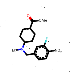 CCN(Cc1ccc([N+](=O)[O-])c(F)c1)C1CCC(C(=O)OC)CC1